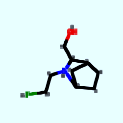 OCC1C2CCC(C2)N1CCF